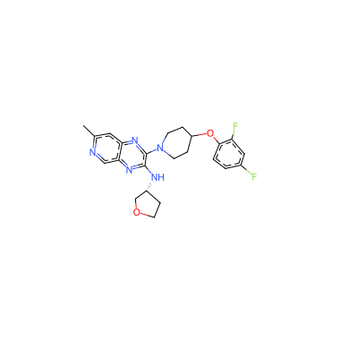 Cc1cc2nc(N3CCC(Oc4ccc(F)cc4F)CC3)c(N[C@@H]3CCOC3)nc2cn1